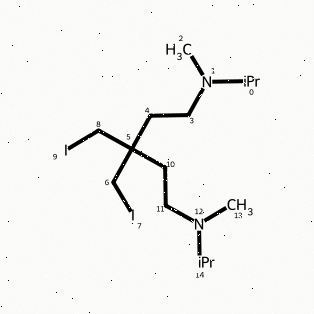 CC(C)N(C)CCC(CI)(CI)CCN(C)C(C)C